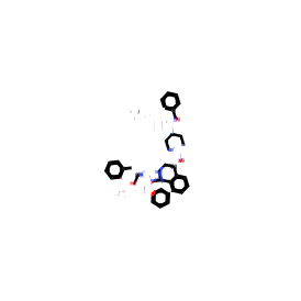 COc1ccccc1C(=O)NC1CCN(C(=O)[C@H]2CC[C@@](C(=O)N[C@@H](Cc3ccccc3)C(=O)OC(C)(C)C)(c3ccccc3)c3ccccc32)CC1